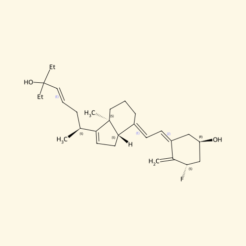 C=C1/C(=C\C=C2/CCC[C@]3(C)C([C@@H](C)C/C=C/C(O)(CC)CC)=CC[C@@H]23)C[C@@H](O)C[C@@H]1F